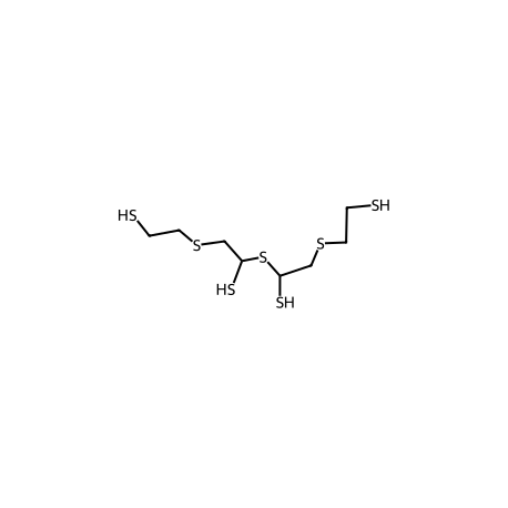 SCCSCC(S)SC(S)CSCCS